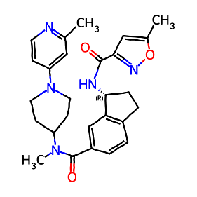 Cc1cc(N2CCC(N(C)C(=O)c3ccc4c(c3)[C@H](NC(=O)c3cc(C)on3)CC4)CC2)ccn1